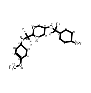 CCCC1CCC(C(F)(F)OC2COC(C(F)(F)OC3CC=C(OC(F)(F)F)CC3)OC2)CC1